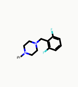 CC(C)N1CCN(Cc2c(F)cccc2F)CC1